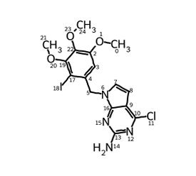 COc1cc(Cn2ccc3c(Cl)nc(N)nc32)c(I)c(OC)c1OC